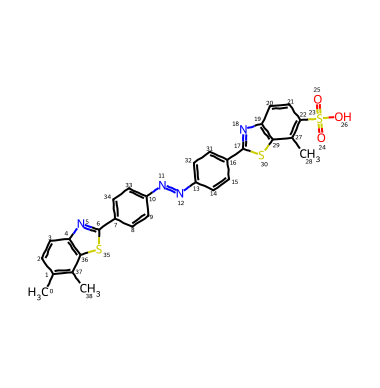 Cc1ccc2nc(-c3ccc(N=Nc4ccc(-c5nc6ccc(S(=O)(=O)O)c(C)c6s5)cc4)cc3)sc2c1C